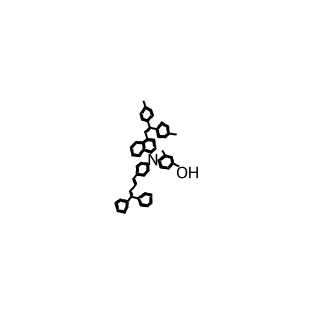 Cc1ccc(C(=Cc2ccc(N(c3ccc(/C=C/C=C(c4ccccc4)c4ccccc4)cc3)c3ccc(CO)cc3C)c3ccccc23)c2ccc(C)cc2)cc1